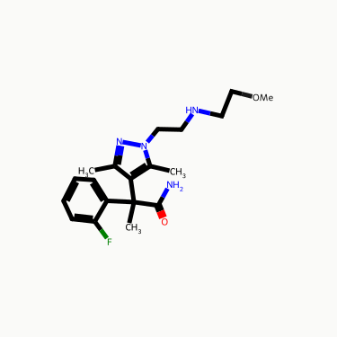 COCCNCCn1nc(C)c(C(C)(C(N)=O)c2ccccc2F)c1C